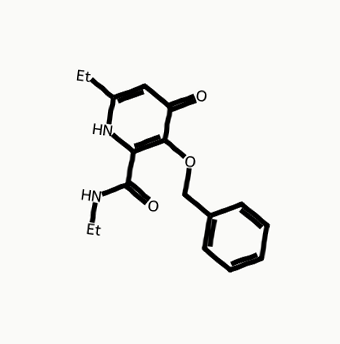 CCNC(=O)c1[nH]c(CC)cc(=O)c1OCc1ccccc1